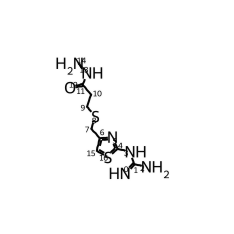 N=C(N)Nc1nc(CSCCC(=O)NN)cs1